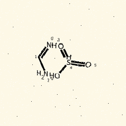 N=CN.O=[SH](=O)O